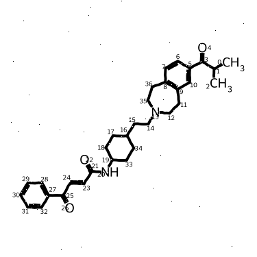 CC(C)C(=O)c1ccc2c(c1)CCN(CCC1CCC(NC(=O)C=CC(=O)c3ccccc3)CC1)CC2